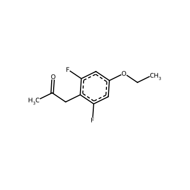 CCOc1cc(F)c(CC(C)=O)c(F)c1